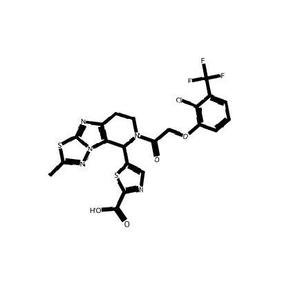 Cc1nn2c3c(nc2s1)CCN(C(=O)COc1cccc(C(F)(F)F)c1Cl)C3c1cnc(C(=O)O)s1